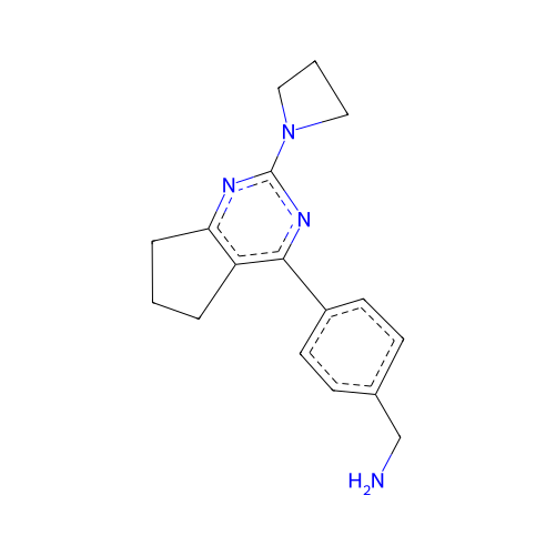 NCc1ccc(-c2nc(N3CCC3)nc3c2CCC3)cc1